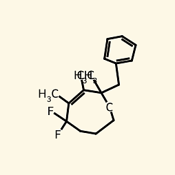 C/C1=C(\C)C(C)(Cc2ccccc2)CCCCC1(F)F